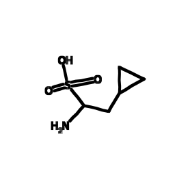 NC(CC1CC1)S(=O)(=O)O